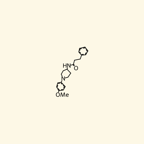 COc1ccc(N2CCC(NC(=O)CCc3ccccc3)CC2)cc1